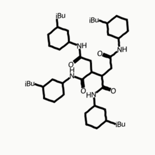 CCC(C)C1CCCC(NC(=O)CC(C(=O)NC2CCCC(C(C)CC)C2)C(CC(=O)NC2CCCC(C(C)CC)C2)C(=O)NC2CCCC(C(C)CC)C2)C1